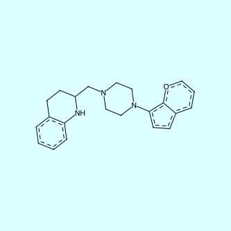 c1coc2c(N3CCN(CC4CCc5ccccc5N4)CC3)ccc-2c1